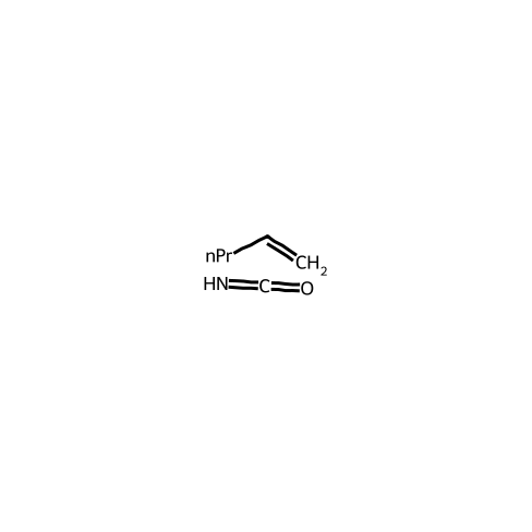 C=CCCC.N=C=O